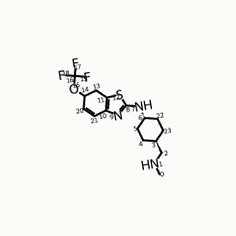 CNC[C@H]1CC[C@H](Nc2nc3c(s2)CC(OC(F)(F)F)C=C3)CC1